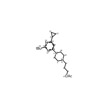 CC(=O)OCCCN1CCN(c2cc(C3CC3)nc(C(C)(C)C)n2)CC1